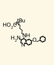 CC(C)(C)N(CCCCNc1c(N)cnc2ccc(OCc3ccccc3)cc12)C(=O)O